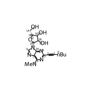 CCCCC#Cc1nc(NC)c2ncn([C@@H]3O[C@H](CO)C(O)C3O)c2n1